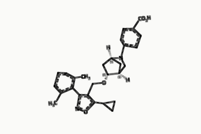 Cc1cccc(C)c1-c1noc(C2CC2)c1CO[C@@H]1C[C@@H]2C[C@H]1CN2c1ccc(C(=O)O)cc1